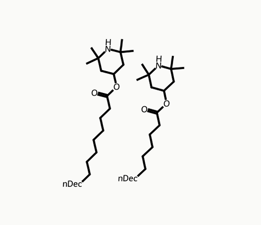 CCCCCCCCCCCCCCCC(=O)OC1CC(C)(C)NC(C)(C)C1.CCCCCCCCCCCCCCCCCC(=O)OC1CC(C)(C)NC(C)(C)C1